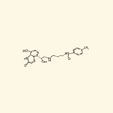 [CH2]c1ccc(C(=O)NCCCCNC[C@@H](O)c2ccc(O)c3[nH]c(=O)ccc23)cc1